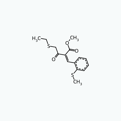 CCSCC(=O)C(=Cc1ccccc1SC)C(=O)OC